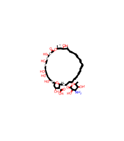 CC1OC(O[C@H]2/C=C/C=C/C=C/C=C/C=C/C=C/C=C/[C@H](C)[C@@H](O)[C@@H](C)[C@H](C)OC(=O)C[C@H](O)C[C@H](O)CC[C@@H](O)[C@H](O)C[C@H](O)C[C@@H]3C[C@H](O)[C@@H](C(=O)O)[C@H](C2)O3)C(O)C(N)C1O